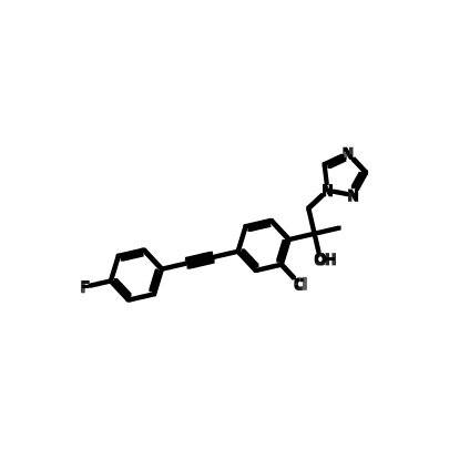 CC(O)(Cn1cncn1)c1ccc(C#Cc2ccc(F)cc2)cc1Cl